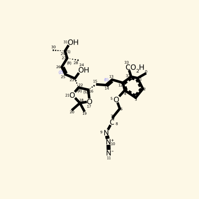 Cc1ccc(OCCCN=[N+]=[N-])c(/C=C/C[C@@H]2OC(C)(C)O[C@@H]2C(O)/C=C\[C@@H](C)[C@H](C)O)c1C(=O)O